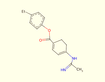 CCc1ccc(OC(=O)C2=CC=C(NC(C)=N)CC2)cc1